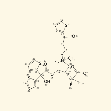 C[N+]1(CCCC(=O)c2cccs2)CCC(OC(=O)C(O)(c2cccs2)c2cccs2)C1.O=C([O-])C(F)(F)F